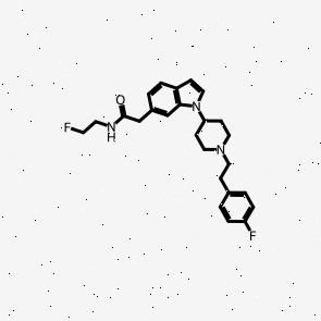 O=C(Cc1ccc2ccn(C3CCN(CCc4ccc(F)cc4)CC3)c2c1)NCCF